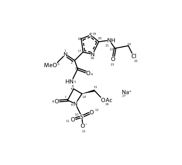 CO/N=C(\C(=O)N[C@H]1C(=O)N(S(=O)(=O)[O-])[C@@H]1COC(C)=O)c1csc(NC(=O)CCl)n1.[Na+]